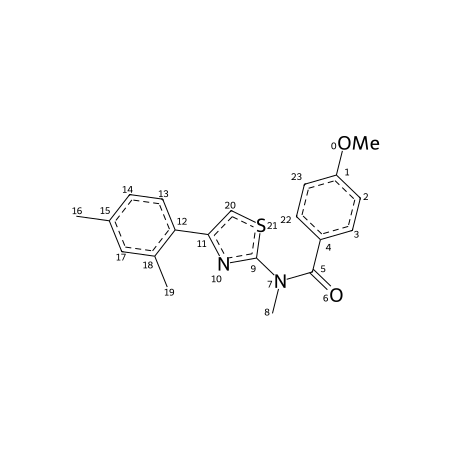 COc1ccc(C(=O)N(C)c2nc(-c3ccc(C)cc3C)cs2)cc1